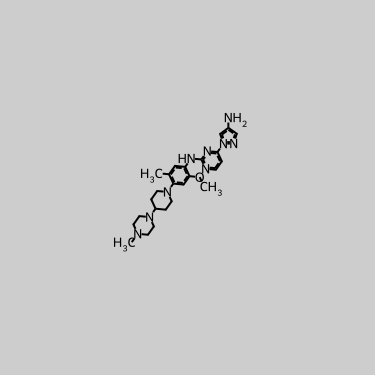 COc1cc(N2CCC(N3CCN(C)CC3)CC2)c(C)cc1Nc1nccc(-n2cc(N)cn2)n1